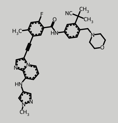 Cc1cc(F)c(C(=O)Nc2ccc(CN3CCOCC3)c(C(C)(C)C#N)c2)cc1C#Cc1cnc2c(Nc3cnn(C)c3)cccn12